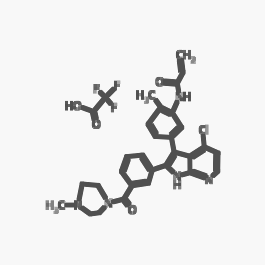 C=CC(=O)Nc1cc(-c2c(-c3cccc(C(=O)N4CCN(C)CC4)c3)[nH]c3nccc(Cl)c23)ccc1C.O=C(O)C(F)(F)F